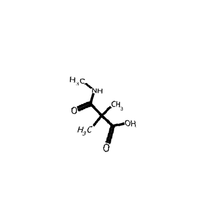 CNC(=O)C(C)(C)C(=O)O